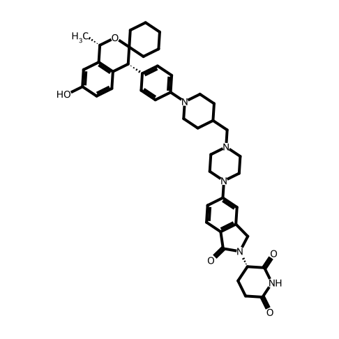 C[C@@H]1OC2(CCCCC2)[C@H](c2ccc(N3CCC(CN4CCN(c5ccc6c(c5)CN([C@H]5CCC(=O)NC5=O)C6=O)CC4)CC3)cc2)c2ccc(O)cc21